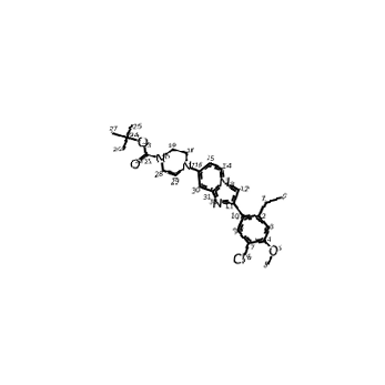 CCc1cc(OC)c(Cl)cc1-c1cn2ccc(N3CCN(C(=O)OC(C)(C)C)CC3)cc2n1